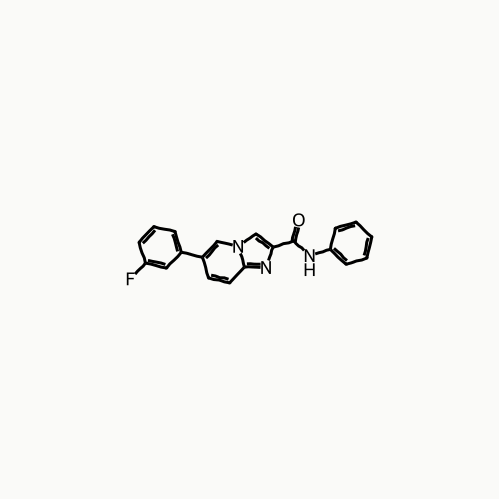 O=C(Nc1ccccc1)c1cn2cc(-c3cccc(F)c3)ccc2n1